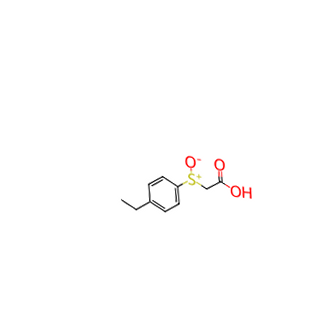 CCc1ccc([S+]([O-])CC(=O)O)cc1